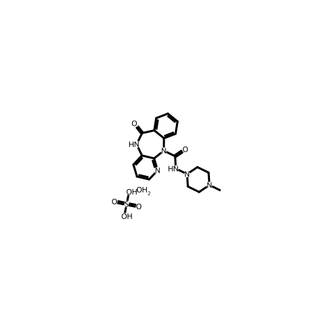 CN1CCN(NC(=O)N2c3ccccc3C(=O)Nc3cccnc32)CC1.O.O=S(=O)(O)O